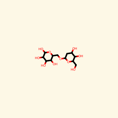 OCC1OC(OCC2OC(O)C(O)C(O)C2O)CC(O)C1O